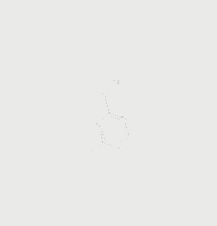 N[N]c1ncnc(Cl)n1